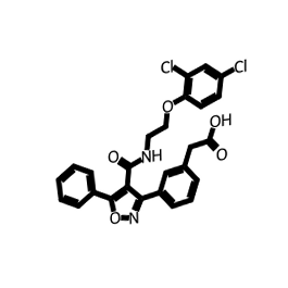 O=C(O)Cc1cccc(-c2noc(-c3ccccc3)c2C(=O)NCCOc2ccc(Cl)cc2Cl)c1